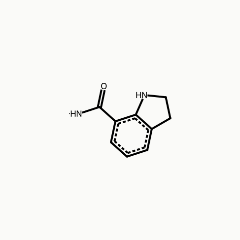 [NH]C(=O)c1cccc2c1NCC2